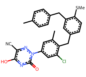 CSc1ccc(Cc2c(C)cc(-n3nc(C#N)c(O)nc3=O)cc2Cl)cc1Cc1ccc(C)cc1